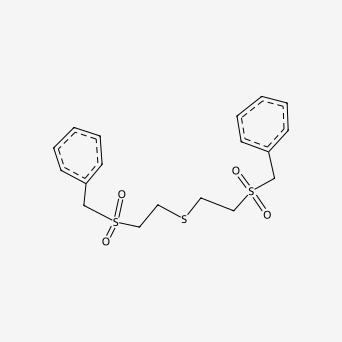 O=S(=O)(CCSCCS(=O)(=O)Cc1ccccc1)Cc1ccccc1